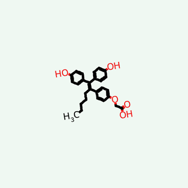 CCCCCC(=C(c1ccc(O)cc1)c1ccc(O)cc1)c1ccc(OCC(=O)O)cc1